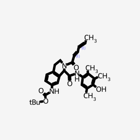 C/C=C/C=C/C(=O)N1CCc2ccc(NC(=O)OC(C)(C)C)cc2C1C(=O)Nc1cc(C)c(O)c(C)c1C